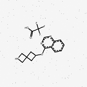 O=C(O)C(F)(F)F.c1ccc2c(OC3CC4(CNC4)C3)ncnc2c1